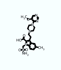 COc1cncnc1N1CCN(CCc2c(C(=O)O)n(CS(N)(=O)=O)c3ccc(C)cc23)CC1